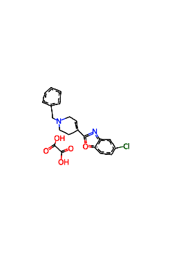 Clc1ccc2oc(C3=CCN(Cc4ccccc4)CC3)nc2c1.O=C(O)C(=O)O